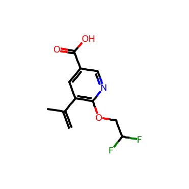 C=C(C)c1cc(C(=O)O)cnc1OCC(F)F